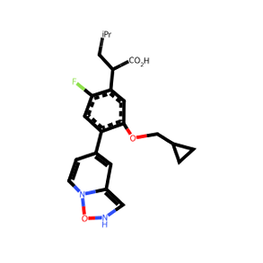 CC(C)CC(C(=O)O)c1cc(OCC2CC2)c(C2=CC3=CNON3C=C2)cc1F